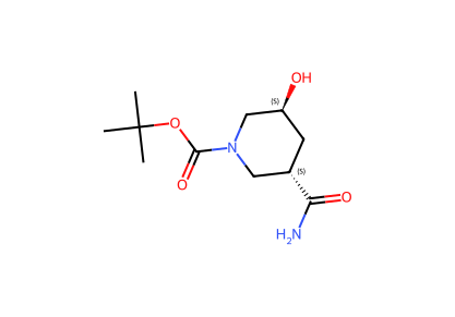 CC(C)(C)OC(=O)N1C[C@@H](O)C[C@H](C(N)=O)C1